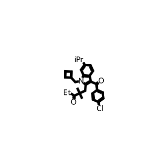 CCC(=O)C(C)(C)Cc1c(C(=O)c2ccc(Cl)cc2)c2ccc(C(C)C)cc2n1CC1CCC1